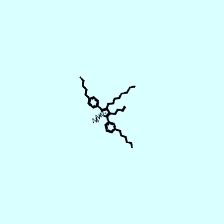 CCCCCCCCC1=C(c2ccc(CCCCC)cc2)[N+](=[N-])C(c2cccc(CCCCCC)c2)=C1CCCC.[Ni]